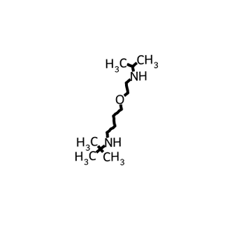 CC(C)NCCOCCCCNC(C)(C)C